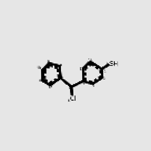 Sc1ccc(C(Cl)c2ccccc2)cc1